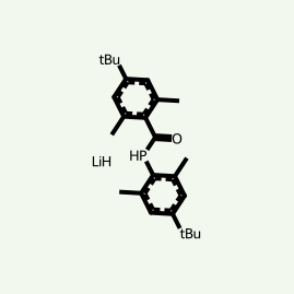 Cc1cc(C(C)(C)C)cc(C)c1PC(=O)c1c(C)cc(C(C)(C)C)cc1C.[LiH]